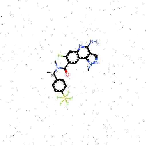 C[C@H](c1ccc(S(F)(F)(F)(F)F)cc1)N(C)C(=O)c1cc2c(cc1F)nc(N)c1cnn(C)c12